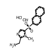 Cl.Cl.Cn1c(S(=O)(=O)c2ccc3ccccc3c2)cnc1CN